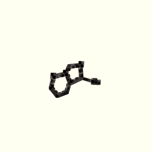 CCC(C)c1ncn2ncccc12